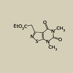 CCOC(=O)Cc1nsc2c1c(=O)n(C)c(=O)n2C